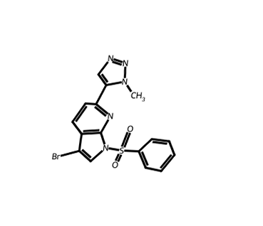 Cn1nncc1-c1ccc2c(Br)cn(S(=O)(=O)c3ccccc3)c2n1